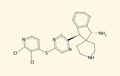 N[C@H]1c2ccccc2[C@H](c2[c]nc(Sc3ccnc(Cl)c3Cl)cn2)C12CCNCC2